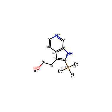 CCS(CC)(CC)c1[nH]c2cnccc2c1CCO